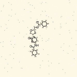 O=C(Nc1ccn([C@@H]2CO[C@@H](COC(=O)c3ccccc3)S2)c(=O)n1)c1ccccc1